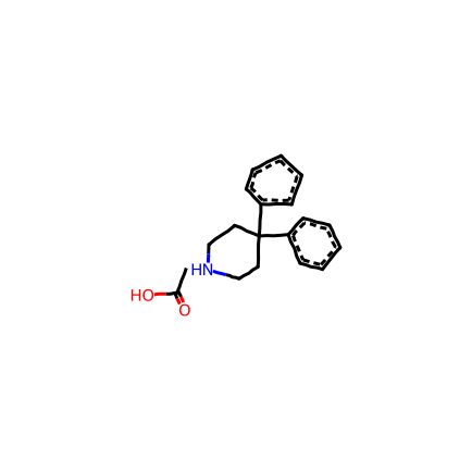 CC(=O)O.c1ccc(C2(c3ccccc3)CCNCC2)cc1